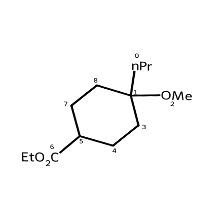 CCCC1(OC)CCC(C(=O)OCC)CC1